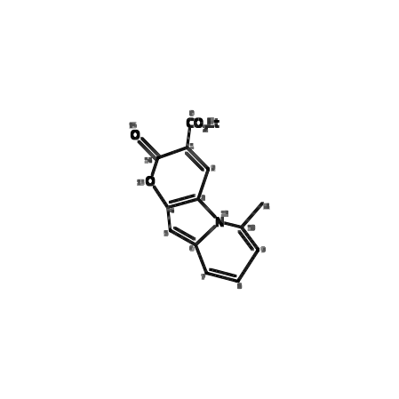 CCOC(=O)c1cc2c(cc3cccc(C)n32)oc1=O